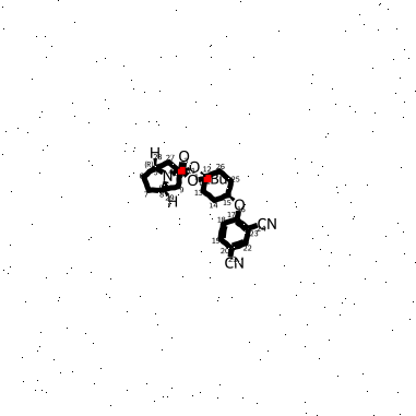 CC(C)(C)OC(=O)N1[C@@H]2CC[C@H]1C[C@H](O[C@H]1CC[C@H](Oc3ccc(C#N)cc3C#N)CC1)C2